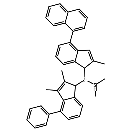 CC1=Cc2c(-c3cccc4ccccc34)cccc2[CH]1[Zr]([CH]1C(C)=C(C)c2c(-c3ccccc3)cccc21)[SiH](C)C